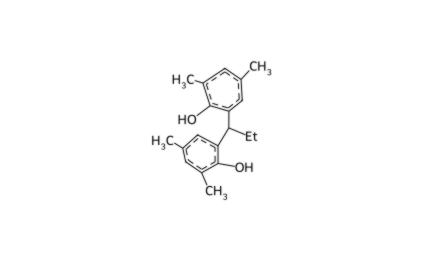 CCC(c1cc(C)cc(C)c1O)c1cc(C)cc(C)c1O